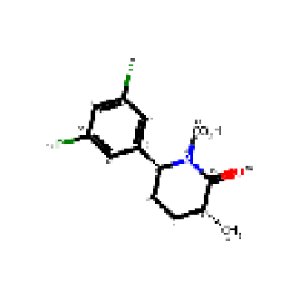 C[C@@H]1CC[C@@H](c2cc(F)cc(F)c2)N(C(=O)O)C1=O